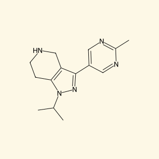 Cc1ncc(-c2nn(C(C)C)c3c2CNCC3)cn1